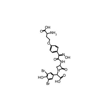 NC(CCOc1ccc(C(=NO)C(=O)NC2CN(C(C(=O)O)c3cc(Br)c(O)c(Br)c3)C2=O)cc1)C(=O)O